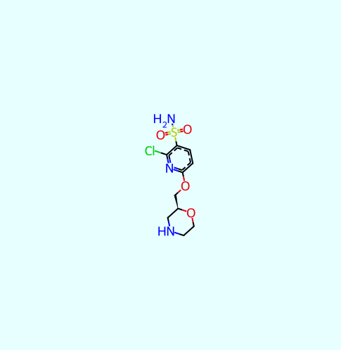 NS(=O)(=O)c1ccc(OC[C@@H]2CNCCO2)nc1Cl